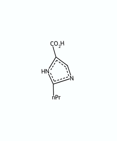 CCCc1ncc(C(=O)O)[nH]1